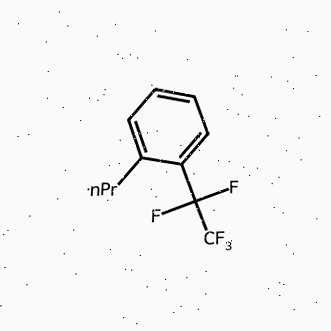 CC[CH]c1ccccc1C(F)(F)C(F)(F)F